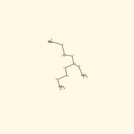 CC(C)(C)COCC(CN)CCCN